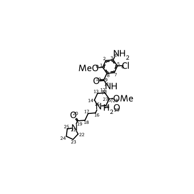 COc1cc(N)c(Cl)cc1C(=O)N[C@H]1CCN(CCCC(=O)N2CCCC2)C[C@@H]1OC.O